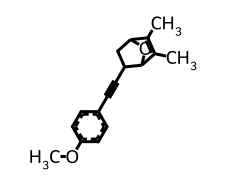 COc1ccc(C#CC2CC3OC2C(C)=C3C)cc1